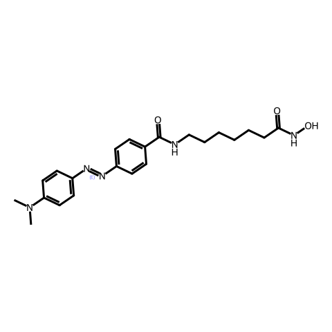 CN(C)c1ccc(/N=N/c2ccc(C(=O)NCCCCCCC(=O)NO)cc2)cc1